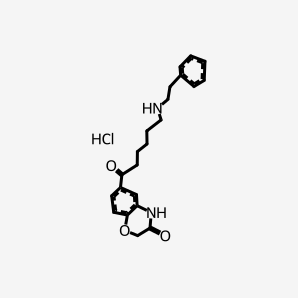 Cl.O=C1COc2ccc(C(=O)CCCCCNCCc3ccccc3)cc2N1